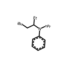 CCCN(c1ccccc1)C(CC)CC(C)CC